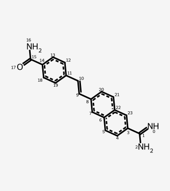 N=C(N)c1ccc2cc(/C=C/c3ccc(C(N)=O)cc3)ccc2c1